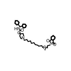 C[N+](C)(CCCCCCCCCCCN1CCC(OC(=O)NC(c2ccccc2)c2ccccc2)CC1)CCCN1C(=O)c2ccccc2C1=O